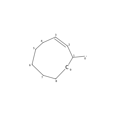 [CH2]C1/C=C\CCCCCC1